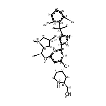 C[C@H](Oc1cc(O[C@H]2CCN[C@H](CC#N)C2)nc(-c2cc(C(C)(C)c3c(F)cccc3F)no2)n1)[C@@H]1C[C@H](F)CN1C